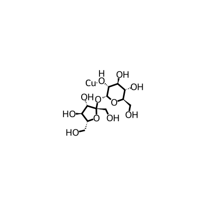 OC[C@H]1O[C@@](CO)(O[C@H]2O[C@H](CO)[C@@H](O)[C@H](O)[C@H]2O)[C@@H](O)[C@@H]1O.[Cu]